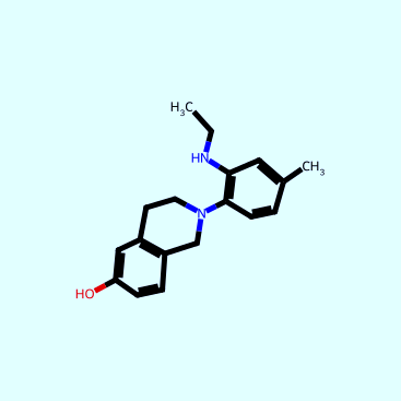 CCNc1cc(C)ccc1N1CCc2cc(O)ccc2C1